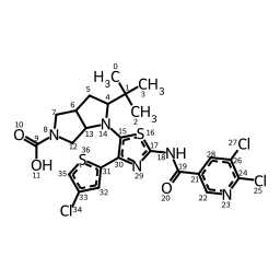 CC(C)(C)C1CC2CN(C(=O)O)CC2N1c1sc(NC(=O)c2cnc(Cl)c(Cl)c2)nc1-c1cc(Cl)cs1